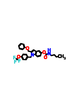 CCCCNC(=O)Oc1ccc2c(c1)cc(COc1ccccc1)n2Cc1ccc(OC(F)(F)F)cc1